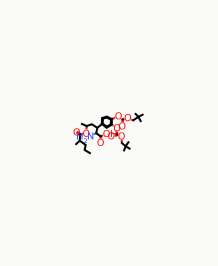 CCCC(C)C(=O)OC(C)CC(c1ccc(OC(=O)OCC(C)(C)C)c(OC(=O)OCC(C)(C)C)c1)[C@H](N)C(=O)O